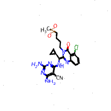 CS(=O)(=O)CCCCn1c(C(Nc2nc(N)nc(N)c2C#N)C2CC2)nc2cccc(Cl)c2c1=O